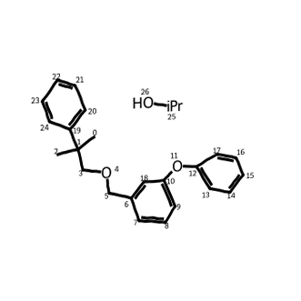 CC(C)(COCc1cccc(Oc2ccccc2)c1)c1ccccc1.CC(C)O